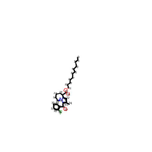 CCCCCCCCCCCCOC(=O)C1CCCCn2c1cc(C)c2C(=O)c1ccccc1F